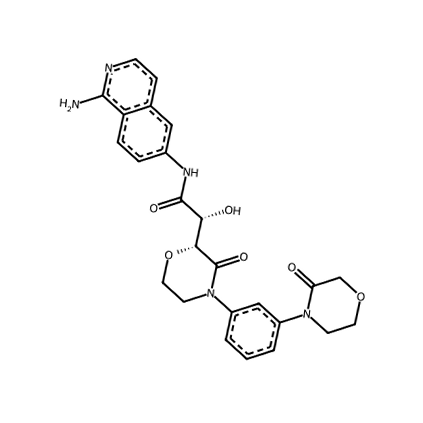 Nc1nccc2cc(NC(=O)[C@H](O)[C@H]3OCCN(c4cccc(N5CCOCC5=O)c4)C3=O)ccc12